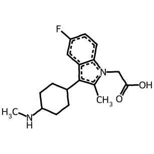 CNC1CCC(c2c(C)n(CC(=O)O)c3ccc(F)cc23)CC1